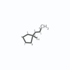 CCCC1(I)CCCC1